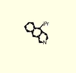 CC(C)c1c2ccccc2cc2cnccc12